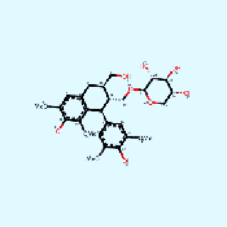 COc1cc([C@H]2c3c(cc(OC)c(O)c3OC)C[C@@H](CO)[C@@H]2CO[C@@H]2OC[C@@H](O)[C@H](O)[C@H]2O)cc(OC)c1O